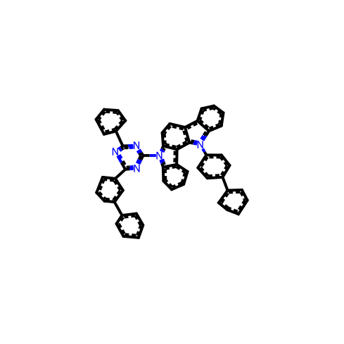 c1ccc(-c2ccc(-n3c4ccccc4c4ccc5c(c6ccccc6n5-c5nc(-c6ccccc6)nc(-c6cccc(-c7ccccc7)c6)n5)c43)cc2)cc1